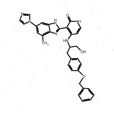 Cc1cc(-n2ccnc2)cc2[nH]c(-c3c(NC(CO)Cc4ccc(OCc5ccccc5)cc4)cc[nH]c3=O)nc12